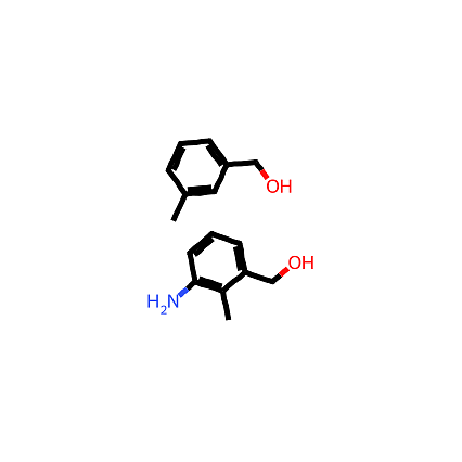 Cc1c(N)cccc1CO.Cc1cccc(CO)c1